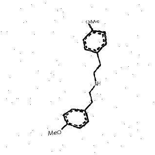 COc1ccc(CCNCCc2ccc(OC)cc2)cc1